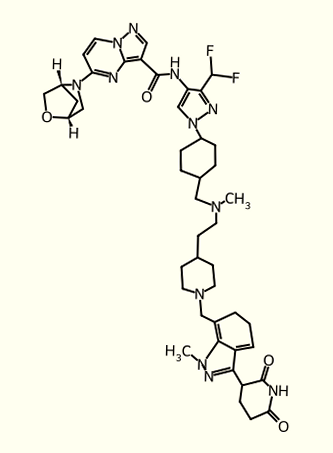 CN(CCC1CCN(CC2=c3c(c(C4CCC(=O)NC4=O)nn3C)=CCC2)CC1)CC1CCC(n2cc(NC(=O)c3cnn4ccc(N5C[C@H]6C[C@@H]5CO6)nc34)c(C(F)F)n2)CC1